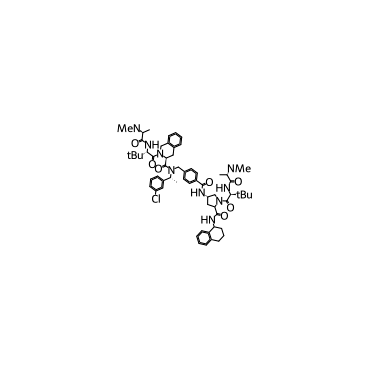 CN[C@@H](C)C(=O)N[C@H](C(=O)N1C[C@@H](NC(=O)c2ccc(CN(C(=O)[C@@H]3Cc4ccccc4CN3C(=O)[C@@H](NC(=O)[C@H](C)NC)C(C)(C)C)[C@H](C)c3cccc(Cl)c3)cc2)CC1C(=O)NC1CCCc2ccccc21)C(C)(C)C